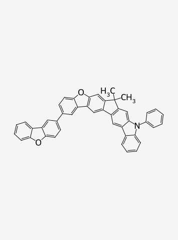 CC1(C)c2cc3oc4ccc(-c5ccc6oc7ccccc7c6c5)cc4c3cc2-c2cc3c4ccccc4n(-c4ccccc4)c3cc21